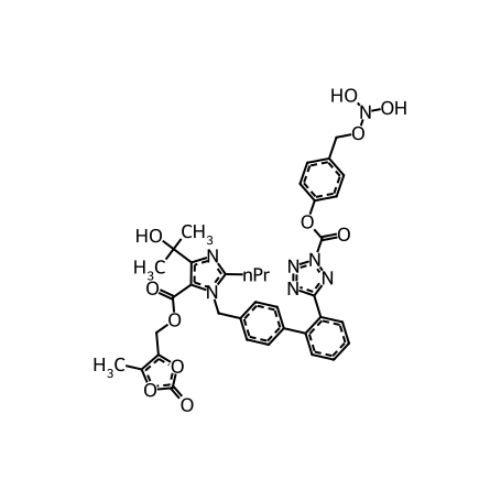 CCCc1nc(C(C)(C)O)c(C(=O)OCc2oc(=O)oc2C)n1Cc1ccc(-c2ccccc2-c2nnn(C(=O)Oc3ccc(CON(O)O)cc3)n2)cc1